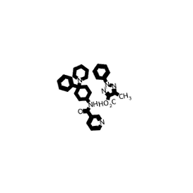 Cc1nn(-c2ccccc2)nc1C(=O)O.O=C(NC1CCC(c2ccccc2)(N2CCCCC2)CC1)c1cccnc1